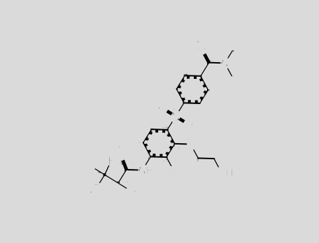 CN(C)C(=O)c1ccc(S(=O)(=O)c2ccc(NC(=O)[C@@](C)(O)C(F)(F)F)c(Cl)c2SCCO)cc1